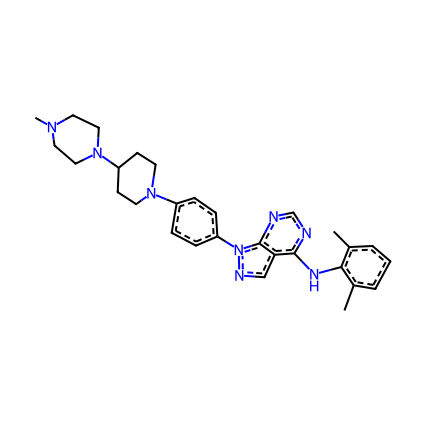 Cc1cccc(C)c1Nc1ncnc2c1cnn2-c1ccc(N2CCC(N3CCN(C)CC3)CC2)cc1